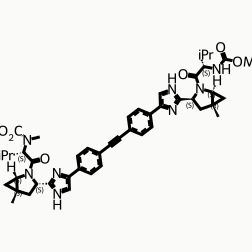 COC(=O)N[C@H](C(=O)N1[C@H]2C[C@]2(C)C[C@H]1c1nc(-c2ccc(C#Cc3ccc(-c4c[nH]c([C@@H]5C[C@]6(C)C[C@@H]6N5C(=O)[C@H](C(C)C)N(C)C(=O)O)n4)cc3)cc2)c[nH]1)C(C)C